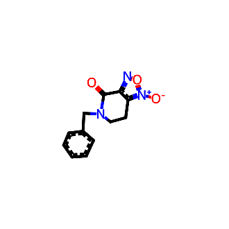 O=C1c2no[n+]([O-])c2CCN1Cc1ccccc1